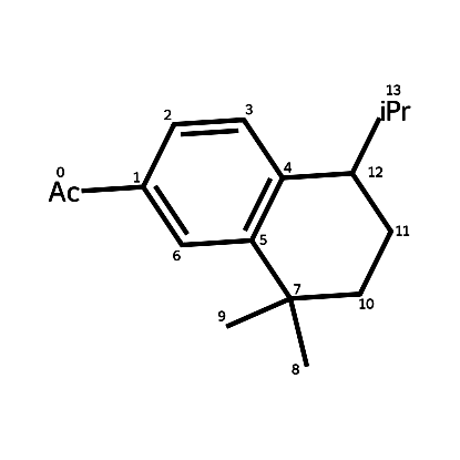 CC(=O)c1ccc2c(c1)C(C)(C)CCC2C(C)C